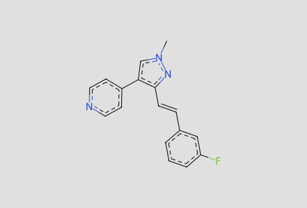 Cn1cc(-c2ccncc2)c(C=Cc2cccc(F)c2)n1